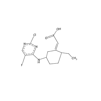 CCC1CCC(Nc2nc(Cl)ncc2F)CC1=CC(=O)O